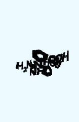 N=C(N)N(c1ccccc1)c1ccccc1.[O]=[Cr](=[O])([OH])[OH]